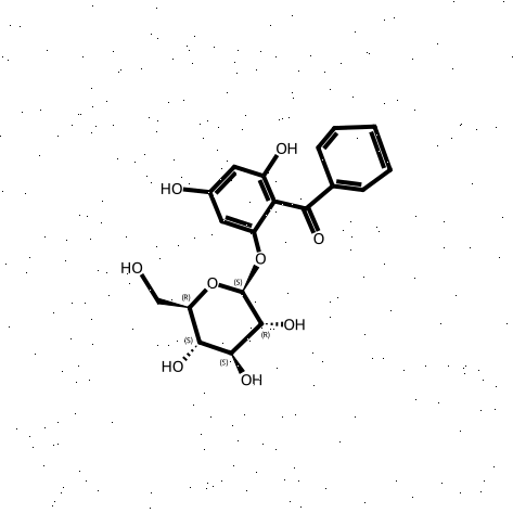 O=C(c1ccccc1)c1c(O)cc(O)cc1O[C@@H]1O[C@H](CO)[C@@H](O)[C@H](O)[C@H]1O